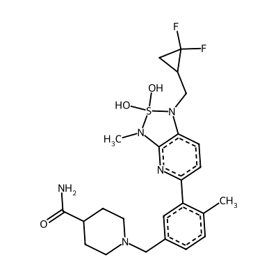 Cc1ccc(CN2CCC(C(N)=O)CC2)cc1-c1ccc2c(n1)N(C)S(O)(O)N2CC1CC1(F)F